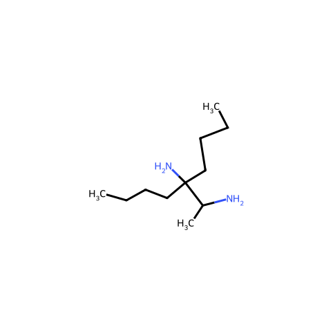 CCCCC(N)(CCCC)C(C)N